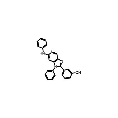 Oc1cccc(-c2nc3cnc(Nc4ccccc4)nc3n2-c2ccccc2)c1